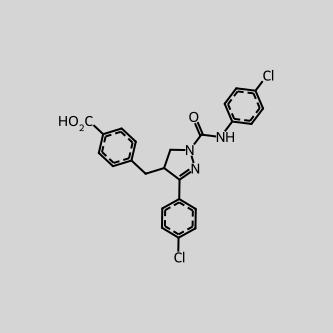 O=C(O)c1ccc(CC2CN(C(=O)Nc3ccc(Cl)cc3)N=C2c2ccc(Cl)cc2)cc1